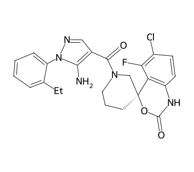 CCc1ccccc1-n1ncc(C(=O)N2CCC[C@@]3(C2)OC(=O)Nc2ccc(Cl)c(F)c23)c1N